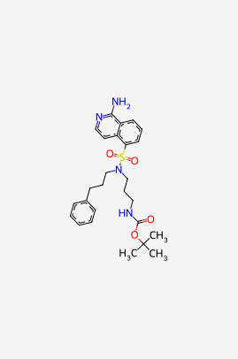 CC(C)(C)OC(=O)NCCCN(CCCc1ccccc1)S(=O)(=O)c1cccc2c(N)nccc12